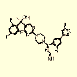 Cn1cc(-c2c[nH]c(/C(=N\C=N)N3CCN(c4ncc([C@](C)(O)c5c(F)cc(F)cc5F)cn4)CC3)c2)cn1